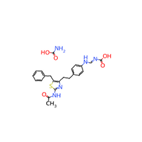 CC(=O)Nc1nc(CCc2ccc(NC=NC(=O)O)cc2)c(Cc2ccccc2)s1.NC(=O)O